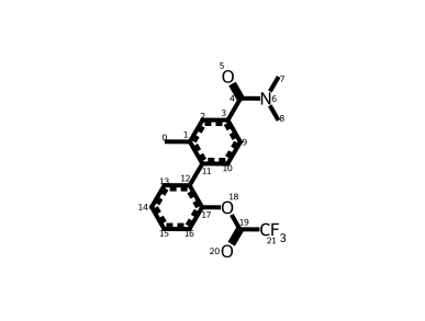 Cc1cc(C(=O)N(C)C)ccc1-c1ccccc1OC(=O)C(F)(F)F